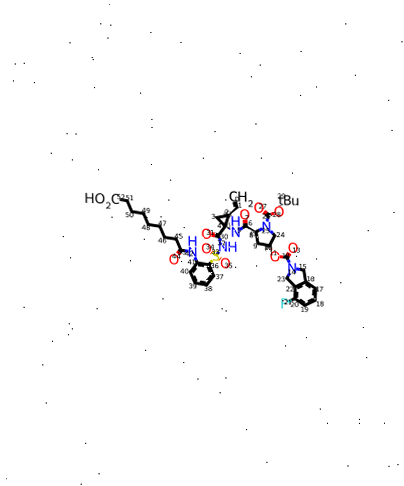 C=C[C@@H]1C[C@]1(NC(=O)[C@@H]1C[C@@H](OC(=O)N2Cc3cccc(F)c3C2)CN1C(=O)OC(C)(C)C)C(=O)NS(=O)(=O)c1ccccc1NC(=O)CCCCCCCC(=O)O